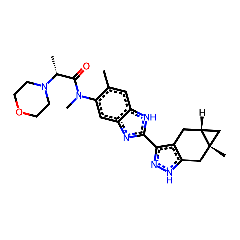 Cc1cc2[nH]c(-c3n[nH]c4c3C[C@@H]3C[C@]3(C)C4)nc2cc1N(C)C(=O)[C@@H](C)N1CCOCC1